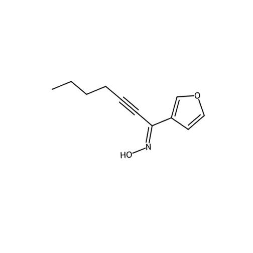 CCCCC#CC(=NO)c1ccoc1